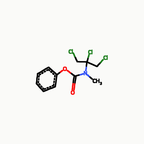 CN(C(=O)Oc1ccccc1)C(Cl)(CCl)CCl